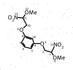 COC(COc1cccc(OCC(OC)[N+](=O)[O-])c1)[N+](=O)[O-]